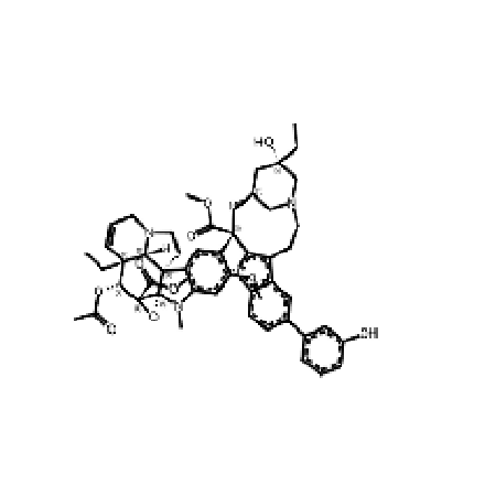 CC[C@]1(O)C[C@H]2CN(CCc3c([nH]c4ccc(-c5cccc(O)c5)cc34)[C@@](C(=O)OC)(c3cc4c(cc3OC)N(C)[C@@]35O[C@]3(C(=O)OC)[C@H](OC(C)=O)[C@]3(CC)C=CCN6CC[C@]45[C@@H]63)C2)C1